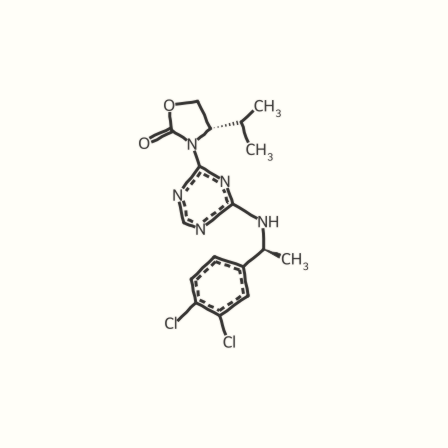 CC(C)[C@H]1COC(=O)N1c1ncnc(N[C@@H](C)c2ccc(Cl)c(Cl)c2)n1